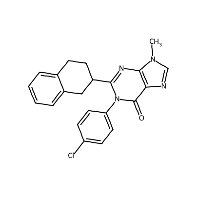 Cn1cnc2c(=O)n(-c3ccc(Cl)cc3)c(C3CCc4ccccc4C3)nc21